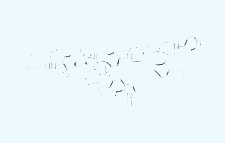 CC(C)Oc1ccccc1[C@@H]1CN(c2ccncc2)CCN1C1CC2(CCN(c3ccc(C(=O)NS(=O)(=O)c4cc5c(c([N+](=O)[O-])c4)N[C@H](C4CCOCC4)CO5)c(N4c5cc6cc[nH]c6nc5O[C@H]5COCC[C@@H]54)c3)CC2)C1